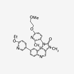 CCOc1ccc(-c2ccc3ncc4c(c3c2)n(-c2ccc(OCCOC)nc2C)c(=O)n4C)cn1